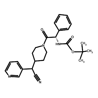 CC(C)(C)OC(=O)N[C@H](C(=O)N1CCC(C(C#N)c2cccnc2)CC1)c1ccccc1